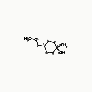 COCC1CCC(C)(O)CC1